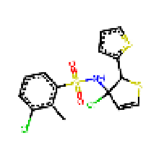 Cc1c(Cl)cccc1S(=O)(=O)NC1(Cl)C=CSC1c1cccs1